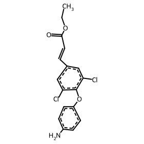 CCOC(=O)C=Cc1cc(Cl)c(Oc2ccc(N)cc2)c(Cl)c1